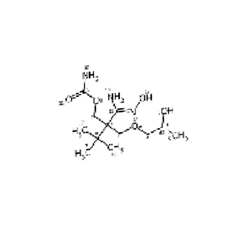 C[C@@H](O)COCC(COC(N)=O)(C(N)=NO)C(C)(C)C